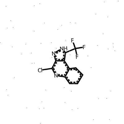 FC(F)(F)c1[nH]nc2c(Cl)nc3ccccc3c12